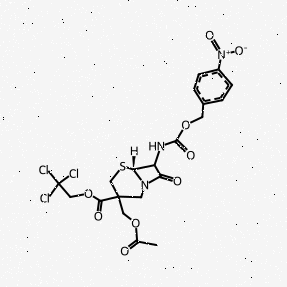 CC(=O)OCC1(C(=O)OCC(Cl)(Cl)Cl)CS[C@@H]2C(NC(=O)OCc3ccc([N+](=O)[O-])cc3)C(=O)N2C1